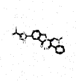 CN/C=C(\C(=N)c1ccccc1)N1Cc2ccc(C3NN=C(C(F)F)O3)cc2C1=O